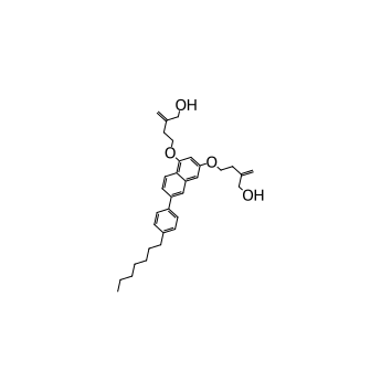 C=C(CO)CCOc1cc(OCCC(=C)CO)c2ccc(-c3ccc(CCCCCCC)cc3)cc2c1